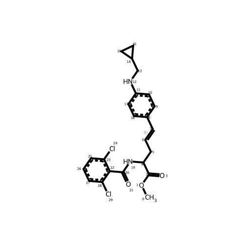 COC(=O)C(C/C=C/c1ccc(NCC2CC2)cc1)NC(=O)c1c(Cl)cccc1Cl